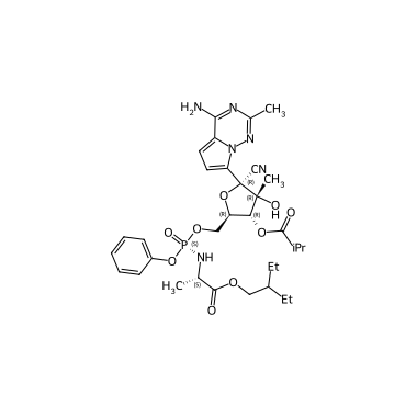 CCC(CC)COC(=O)[C@H](C)N[P@](=O)(OC[C@H]1O[C@@](C#N)(c2ccc3c(N)nc(C)nn23)[C@](C)(O)[C@@H]1OC(=O)C(C)C)Oc1ccccc1